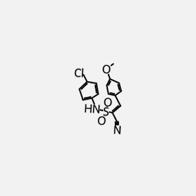 COc1ccc(/C=C(/C#N)S(=O)(=O)Nc2ccc(Cl)cc2)cc1